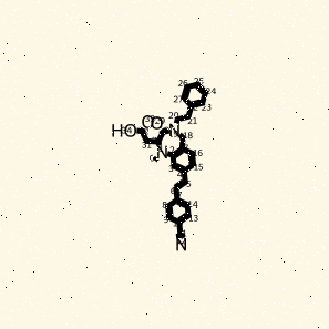 CN1c2cc(C=Cc3ccc(C#N)cc3)ccc2CN(CCc2ccccc2)C(=O)C1CC(=O)O